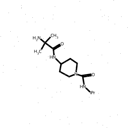 CC(C)NC(=O)N1CCC(NC(=O)C(C)(C)N)CC1